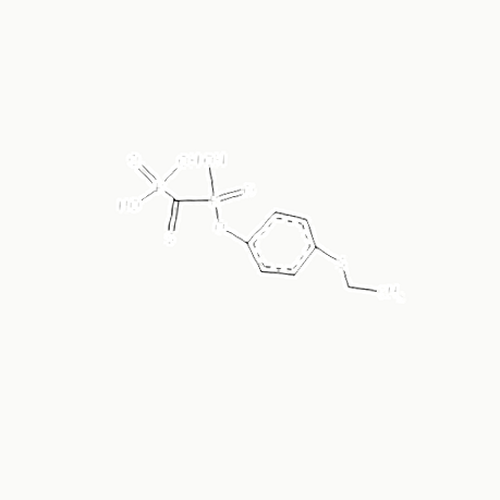 CCSc1ccc(OP(=O)(O)C(=S)P(=O)(O)O)cc1